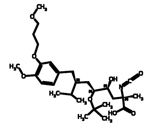 COCCCOc1cc(C[C@@H](C[C@H](OC(C)(C)C)[C@@H](O)C[C@@](C)(N=C=O)C(=O)O)C(C)C)ccc1OC